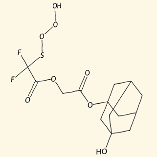 O=C(COC(=O)C(F)(F)SOOO)OC12CC3CC(CC(O)(C3)C1)C2